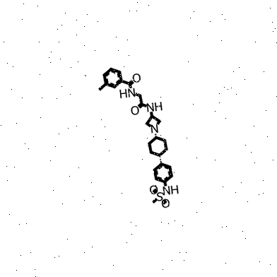 Cc1cccc(C(=O)NCC(=O)NC2CN([C@H]3CC[C@@H](c4ccc(NS(C)(=O)=O)cc4)CC3)C2)c1